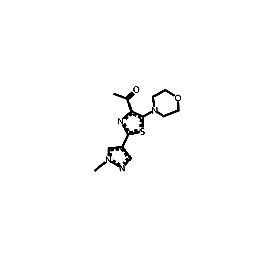 CC(=O)c1nc(-c2cnn(C)c2)sc1N1CCOCC1